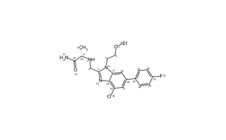 CCOCCn1c(CN[C@@H](C)C(N)=O)nc2c(Cl)cc(-c3ccc(F)cc3)cc21